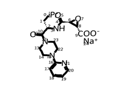 CC(C)C[C@H](NC(=O)[C@H]1O[C@@H]1C(=O)[O-])C(=O)N1CCN(c2ccccn2)CC1.[Na+]